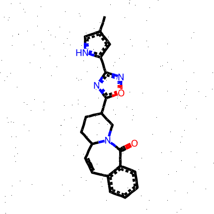 Cc1c[nH]c(-c2noc(C3CCC4C=Cc5ccccc5C(=O)N4C3)n2)c1